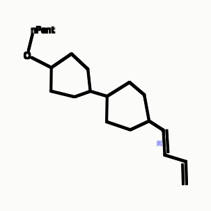 C=C/C=C/C1CCC(C2CCC(OCCCCC)CC2)CC1